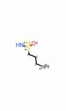 CCCCCC[SH](=N)=O